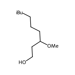 CCC(C)CCCC(CCO)OC